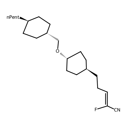 CCCCC[C@H]1CC[C@H](CO[C@H]2CC[C@H](CCC=C(F)C#N)CC2)CC1